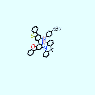 CC(C)(C)c1ccc(Nc2cc3c(cc2-c2c4c(cc5c2oc2ccccc25)N2c5ccccc5C(C)(C)c5cccc(c52)B4)sc2ccccc23)cc1